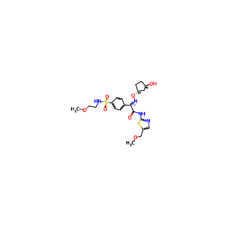 COCCNS(=O)(=O)c1ccc(/C(=N\O[C@@H]2CC[C@@H](O)C2)C(=O)Nc2ncc(COC)s2)cc1